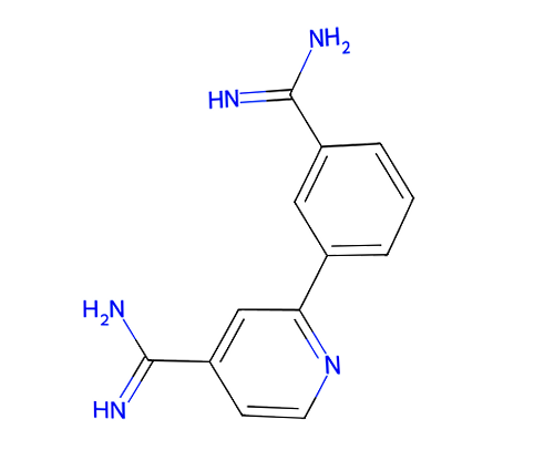 N=C(N)c1cccc(-c2cc(C(=N)N)ccn2)c1